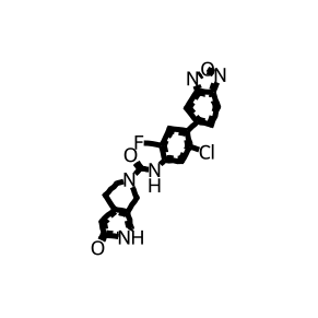 O=C(Nc1cc(Cl)c(-c2ccc3nonc3c2)cc1F)N1CCc2cc(=O)[nH]cc2C1